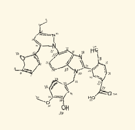 CCc1cc(-c2ccc(C)o2)n(-c2ccc3c(c2)nc(-c2cc(C(=O)O)ccc2O)n3Cc2ccc(OC)c(O)c2)n1